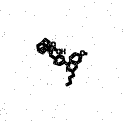 CCCCC1Cc2cc(OC)ccc2C(c2ccc(CN(C(=O)O)C34CC5CC(CC(C5)C3)C4)cc2)=N1